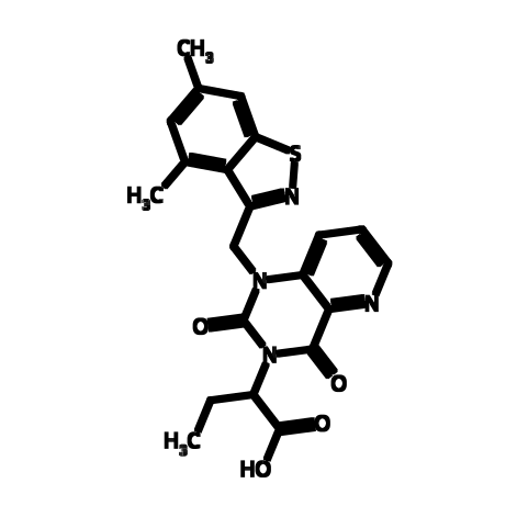 CCC(C(=O)O)n1c(=O)c2ncccc2n(Cc2nsc3cc(C)cc(C)c23)c1=O